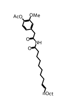 CCCCCCCCC=CCCCCCCCC(=O)NC(=O)Cc1ccc(OC(C)=O)c(OC)c1